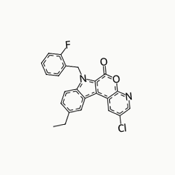 CCc1ccc2c(c1)c1c3cc(Cl)cnc3oc(=O)c1n2Cc1ccccc1F